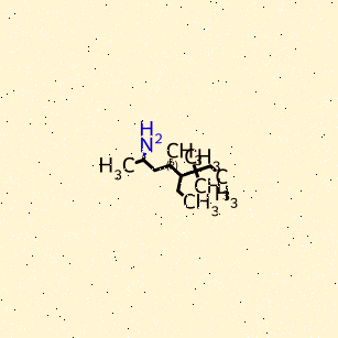 CCC([C@H](C)CC(C)N)C(C)(C)CC